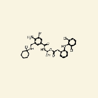 CCCC(NC(=O)c1cc(Br)c(N)c(CNC2(CC)CCCCC2)c1)OC(=O)Cc1ccccc1Nc1c(Cl)cccc1Cl